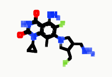 Cc1c(N2CC(CN)C(CF)C2)c(F)c(N)c2c(=O)[nH]c(=O)n(C3CC3)c12